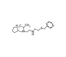 CC(C)N(CCNCCSCc1ccccc1)CC1CCCC1